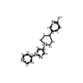 Fc1ccc(C2CCN(c3cnn(-c4ccncc4)c3)CC2)cn1